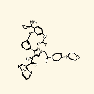 NC(=O)c1ccc(OC(F)F)cc1Sc1cccc(-c2nn(CC(=O)N3CCC(N4CCOCC4)CC3)cc2NC(=O)c2cnn3cccnc23)c1